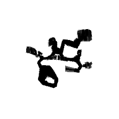 CSCCC(NC(=O)[C@@H](S)C(C)C)C(=O)NC(Cc1ccccc1)C(=O)O